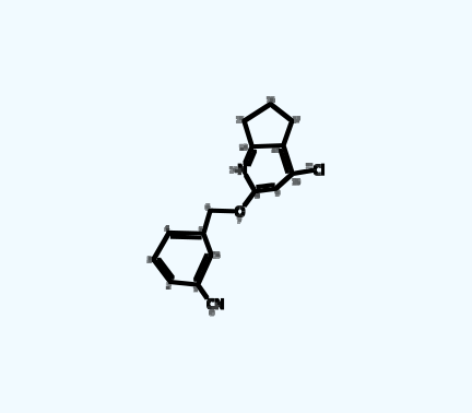 N#Cc1cccc(COc2cc(Cl)c3c(n2)CCC3)c1